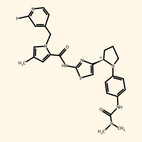 Cc1cc(C(=O)Nc2nc([C@H]3CCCN3c3ccc(NC(=O)N(C)C)cc3)cs2)n(Cc2ccnc(F)c2)c1